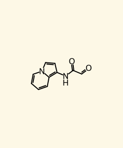 O=CC(=O)Nc1ccn2ccccc12